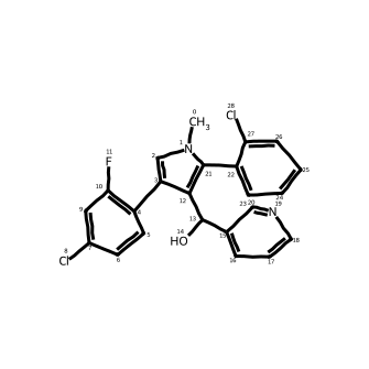 Cn1cc(-c2ccc(Cl)cc2F)c(C(O)c2cccnc2)c1-c1ccccc1Cl